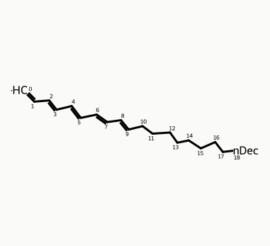 [CH]=C/C=C/C=C/C=C/C=C/CCCCCCCCCCCCCCCCCC